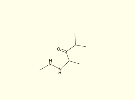 CNNC(C)C(=O)C(C)C